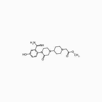 COC(=O)CN1CCC(N2CCN(c3ccc(O)cc3C(=N)N)C(=O)C2)CC1